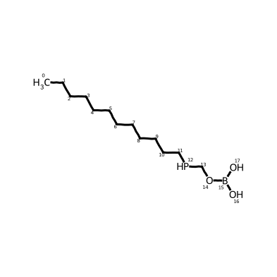 CCCCCCCCCCCCPCOB(O)O